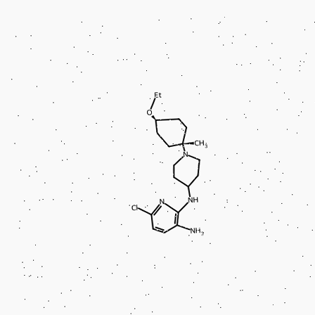 CCO[C@H]1CC[C@](C)(N2CCC(Nc3nc(Cl)ccc3N)CC2)CC1